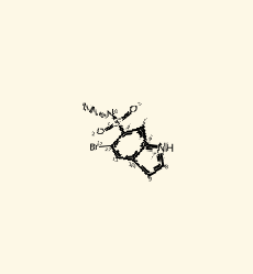 CNS(=O)(=O)c1cc2[nH]ccc2cc1Br